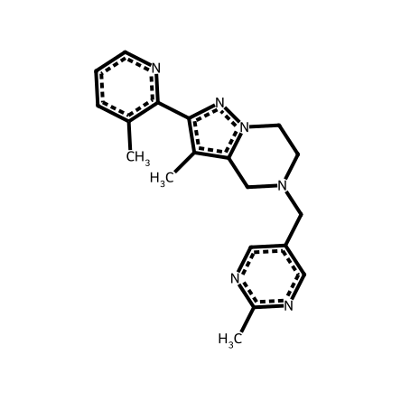 Cc1ncc(CN2CCn3nc(-c4ncccc4C)c(C)c3C2)cn1